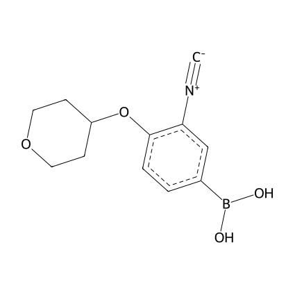 [C-]#[N+]c1cc(B(O)O)ccc1OC1CCOCC1